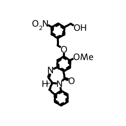 COc1cc2c(cc1OCc1cc(CO)cc([N+](=O)[O-])c1)N=C[C@@H]1Cc3ccccc3N1C2=O